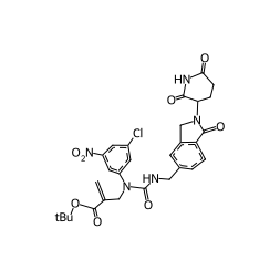 C=C(CN(C(=O)NCc1ccc2c(c1)CN(C1CCC(=O)NC1=O)C2=O)c1cc(Cl)cc([N+](=O)[O-])c1)C(=O)OC(C)(C)C